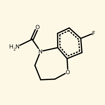 NC(=O)N1CCCOc2cc(F)ccc21